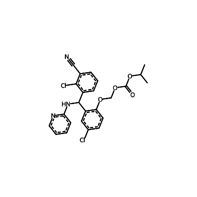 CC(C)OC(=O)OCOc1ccc(Cl)cc1C(Nc1ccccn1)c1cccc(C#N)c1Cl